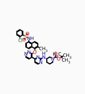 Cc1ccc2c(NS(=O)(=O)c3ccccc3Cl)cccc2c1Oc1nnccc1-c1ccnc(N[C@H]2CCCN(C(=O)OC(C)(C)C)C2)n1